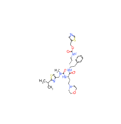 CC(C)c1nc(CN(C)C(=O)NC(CCN2CCOCC2)C(=O)N[C@H](CCCNC(=O)OCc2cncs2)Cc2ccccc2)cs1